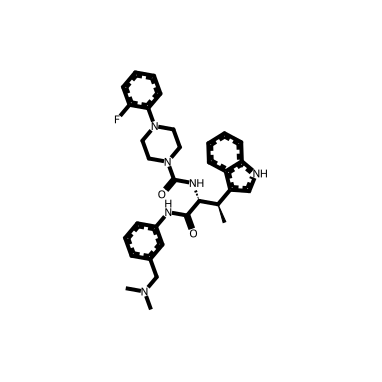 C[C@H](c1c[nH]c2ccccc12)[C@@H](NC(=O)N1CCN(c2ccccc2F)CC1)C(=O)Nc1cccc(CN(C)C)c1